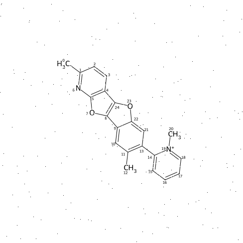 Cc1ccc2c(n1)oc1c3cc(C)c(-c4cccc[n+]4C)cc3oc21